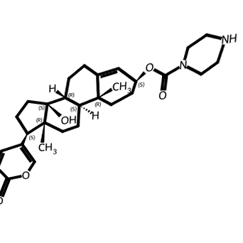 C[C@]12CC[C@H](OC(=O)N3CCNCC3)C=C1CC[C@@H]1[C@@H]2CC[C@]2(C)[C@@H](c3ccc(=O)oc3)CC[C@]12O